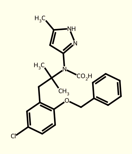 Cc1cc(N(C(=O)O)C(C)(C)Cc2cc(Cl)ccc2OCc2ccccc2)n[nH]1